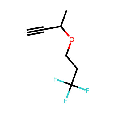 [C]#CC(C)OCCC(F)(F)F